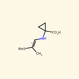 CS/C(C)=C/NC1(C(=O)O)CC1